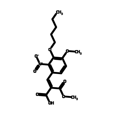 CCCCCOc1c(OC)ccc(C=C(C(=O)O)C(=O)OC)c1[N+](=O)[O-]